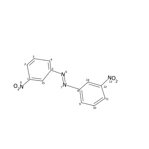 O=[N+]([O-])c1cccc(N=Nc2cccc([N+](=O)[O-])c2)c1